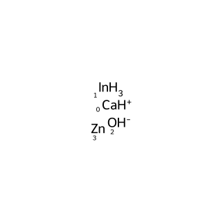 [CaH+].[InH3].[OH-].[Zn]